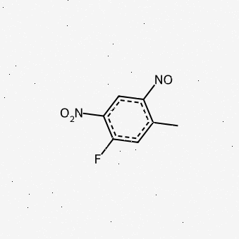 Cc1cc(F)c([N+](=O)[O-])cc1N=O